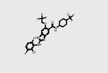 O=C(NC1CCC(C(F)(F)F)CC1)c1cc2nc(Nc3c(F)ccc(F)c3Cl)[nH]c2cc1OCC(F)(F)F